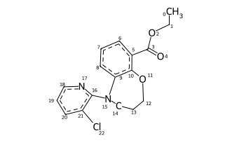 CCOC(=O)c1cccc2c1OCCCN2c1ncccc1Cl